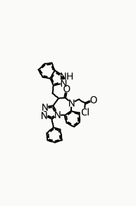 O=C(Cl)CN1C(=O)C(Cc2n[nH]c3ccccc23)c2nnc(-c3ccccc3)n2-c2ccccc21